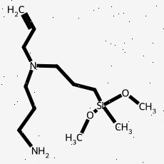 C=CCN(CCCN)CCC[Si](C)(OC)OC